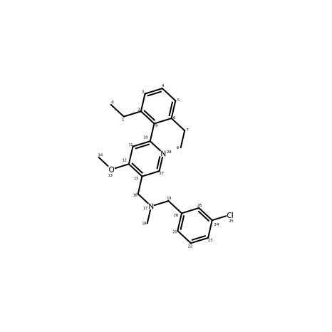 CCc1cccc(CC)c1-c1cc(OC)c(CN(C)Cc2cccc(Cl)c2)cn1